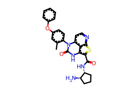 Cc1cc(Oc2ccccc2)ccc1N1C(=O)Nc2c(C(=O)N[C@@H]3CCC[C@H]3N)sc3nccc1c23